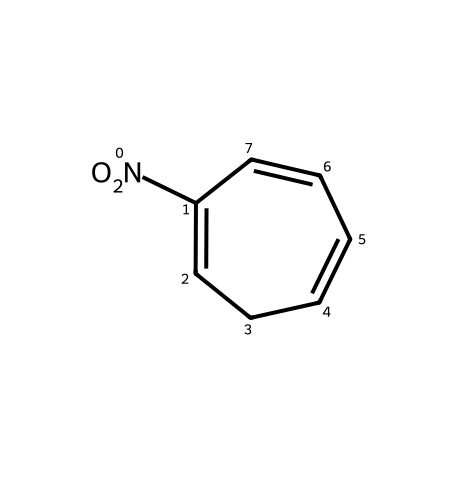 O=[N+]([O-])C1=CCC=CC=C1